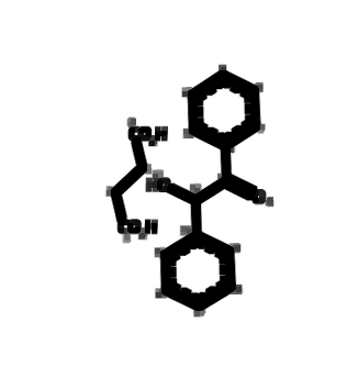 O=C(O)CCC(=O)O.O=C(c1ccccc1)C(O)c1ccccc1